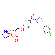 CS(=O)(=O)O[C@H](COc1ccc(C(=O)N2CC[C@H](c3ccc(Cl)cc3)C2)cc1)Cn1cnnn1